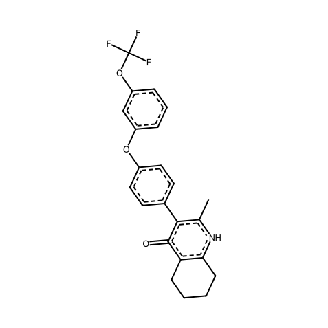 Cc1[nH]c2c(c(=O)c1-c1ccc(Oc3cccc(OC(F)(F)F)c3)cc1)CCCC2